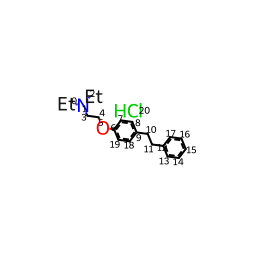 CCN(CC)CCOc1ccc(CCc2ccccc2)cc1.Cl